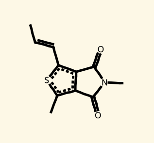 C/C=C/c1sc(C)c2c1C(=O)N(C)C2=O